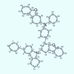 c1ccc(-c2ccc3c(c2)c2ccccc2n3-c2cc(-c3ccc(N(c4ccccc4)c4ccc5c(c4)oc4ccccc45)cc3)c3oc4ccccc4c3c2)cc1